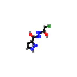 O=C(CCl)NNC(=O)C1CC=NN1